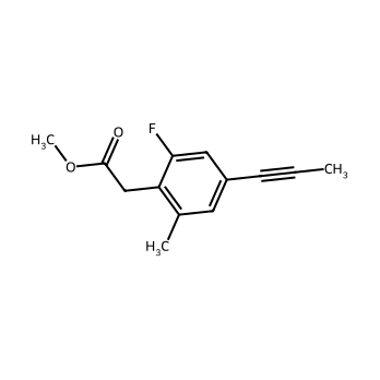 CC#Cc1cc(C)c(CC(=O)OC)c(F)c1